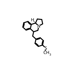 CSc1ccc(CC2CN3CCC[C@@H]3c3ccccc32)cc1